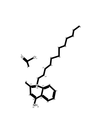 CC(=O)[O-].CCCCCCCCCCCC[n+]1c(C)cc(N)c2ccccc21